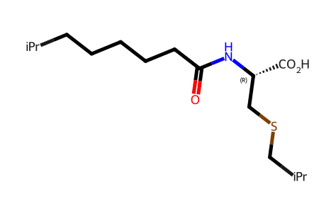 CC(C)CCCCCC(=O)N[C@@H](CSCC(C)C)C(=O)O